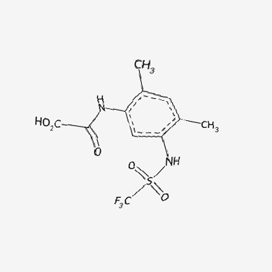 Cc1cc(C)c(NS(=O)(=O)C(F)(F)F)cc1NC(=O)C(=O)O